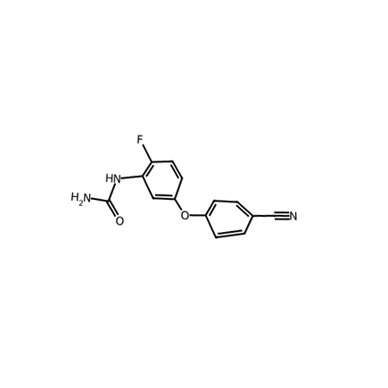 N#Cc1ccc(Oc2ccc(F)c(NC(N)=O)c2)cc1